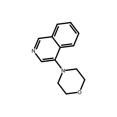 c1ccc2c(N3CCOCC3)cncc2c1